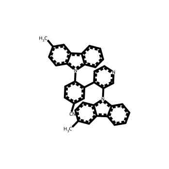 Cc1ccc2c(c1)c1ccccc1n2-c1ccc(C#N)cc1-c1ccncc1-n1c2ccccc2c2cc(C)ccc21